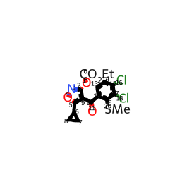 CCOC(=O)Oc1noc(C2CC2)c1C(=O)c1ccc(Cl)c(Cl)c1SC